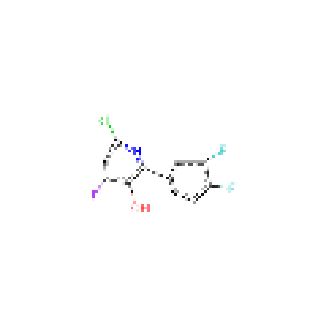 Oc1c(I)cc(Cl)nc1-c1ccc(F)c(F)c1